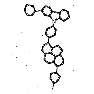 Cc1ccc(-c2ccc3ccc4c(-c5ccc(-n6c7ccccc7c7ccc(-c8ccccc8)cc76)cc5)ccc5ccc2c3c54)cc1